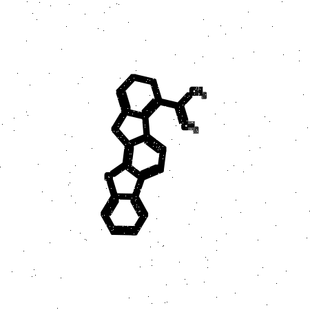 C=C(C)C1=C2C(=CCC1)Cc1c2ccc2c1oc1ccccc12